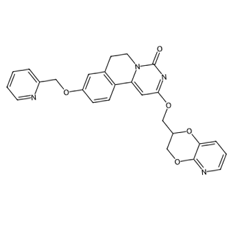 O=c1nc(OCC2COc3ncccc3O2)cc2n1CCc1cc(OCc3ccccn3)ccc1-2